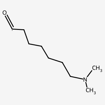 CN(C)CCCCCC[C]=O